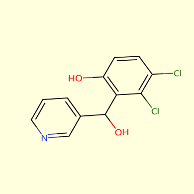 Oc1ccc(Cl)c(Cl)c1C(O)c1cccnc1